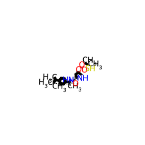 CC(C)=C(C)c1ccc([C@H](C)NC(=O)[C@@H]2C[C@@H](OC(=O)OC(C)C(C)S)CN2)cc1